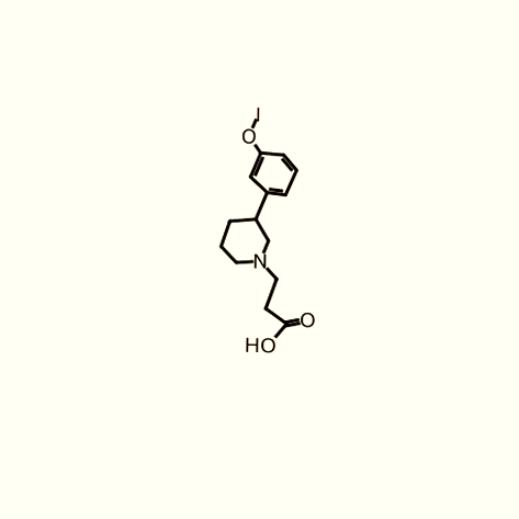 O=C(O)CCN1CCCC(c2cccc(OI)c2)C1